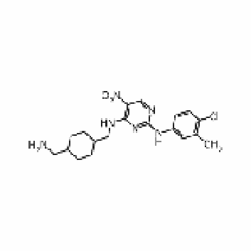 Cc1cc(Nc2ncc([N+](=O)[O-])c(NCC3CCC(CN)CC3)n2)ccc1Cl